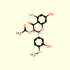 COc1ccc([C@H]2Oc3cc(O)cc(O)c3C(=O)[C@@H]2OC(C)=O)cc1O